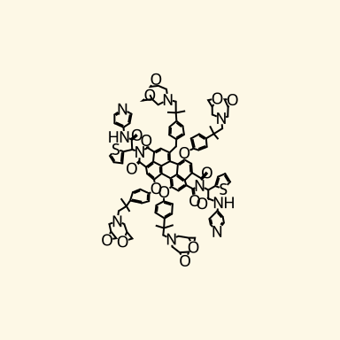 CC(C)(CN(CC1CO1)CC1CO1)c1ccc(Cc2cc3c4c(cc(Oc5ccc(C(C)(C)CN(CC6CO6)CC6CO6)cc5)c5c6c(Oc7ccc(C(C)(C)CN(CC8CO8)CC8CO8)cc7)cc7c8c(cc(Oc9ccc(C(C)(C)CN(CC%10CO%10)CC%10CO%10)cc9)c(c2c45)c86)C(=O)N(C(C(=O)Nc2ccncc2)c2cccs2)C7=O)C(=O)N(C(C(=O)Nc2ccncc2)c2cccs2)C3=O)cc1